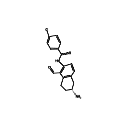 N[C@@H]1CCc2c(ccc(NC(=O)c3ccc(Cl)cc3)c2C=O)C1